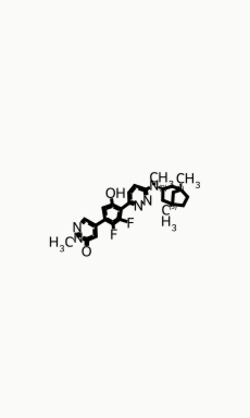 CN(c1ccc(-c2c(O)cc(-c3cnn(C)c(=O)c3)c(F)c2F)nn1)[C@H]1C[C@]2(C)CC[C@](C)(C1)C2